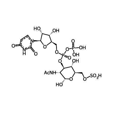 CC(=O)N[C@@H]1[C@@H](OP(=O)(OC[C@H]2O[C@@H](n3ccc(=O)[nH]c3=O)[C@H](O)[C@@H]2O)OP(=O)(O)O)[C@H](O)[C@@H](COS(=O)(=O)O)O[C@@H]1O